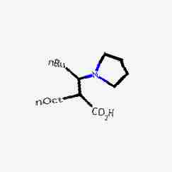 CCCCCCCCC(C(=O)O)C(CCCC)N1CCCC1